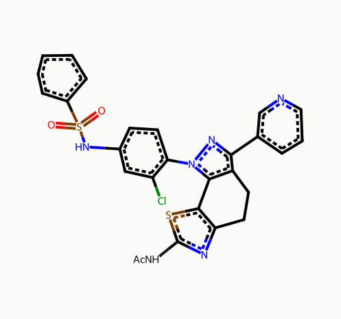 CC(=O)Nc1nc2c(s1)-c1c(c(-c3cccnc3)nn1-c1ccc(NS(=O)(=O)c3ccccc3)cc1Cl)CC2